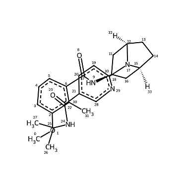 COc1cccc(C(=O)N[C@H]2C[C@H]3CC[C@@H](C2)N3c2ccc(C(=O)NC(C)C)cn2)c1C